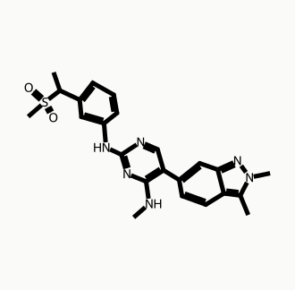 CNc1nc(Nc2cccc(C(C)S(C)(=O)=O)c2)ncc1-c1ccc2c(C)n(C)nc2c1